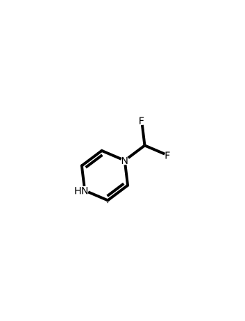 FC(F)N1C=[C]NC=C1